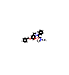 CN(C)CC(O)C(c1ccccc1)n1ccc2cc(OCc3ccccc3)ccc21